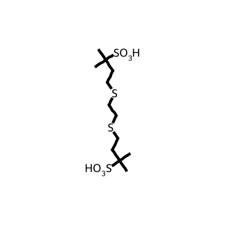 CC(C)(CCSCCSCCC(C)(C)S(=O)(=O)O)S(=O)(=O)O